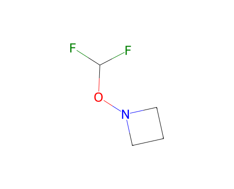 FC(F)ON1CCC1